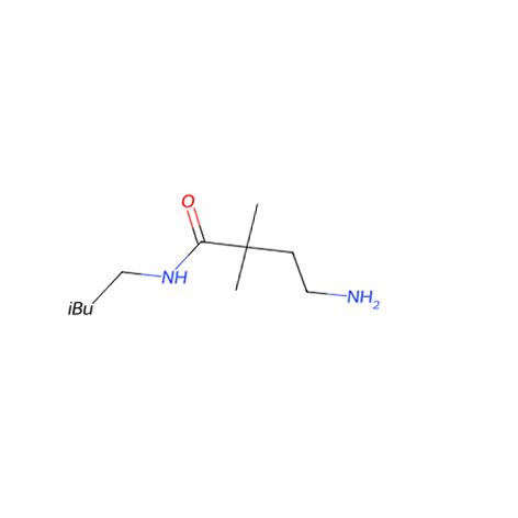 CCC(C)CNC(=O)C(C)(C)CCN